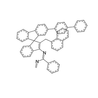 C=N/C(=N\C1=C(Cc2cccc3ccccc23)C2(c3ccccc31)c1ccccc1-c1ccc(-c3ccc(-c4ccccc4)cc3)cc12)c1ccccc1